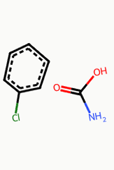 Clc1ccccc1.NC(=O)O